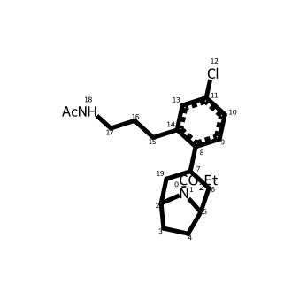 CCOC(=O)N1C2CCC1CC(c1ccc(Cl)cc1CCCNC(C)=O)C2